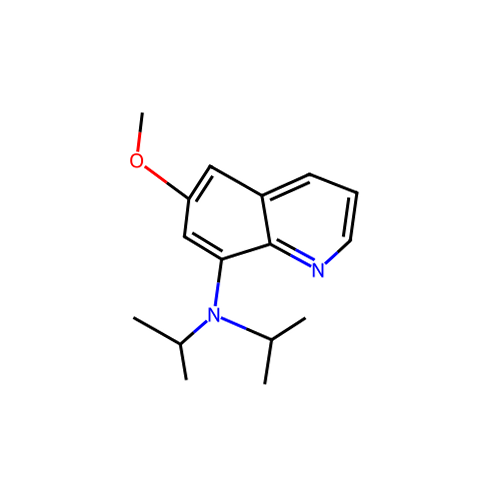 COc1cc(N(C(C)C)C(C)C)c2ncccc2c1